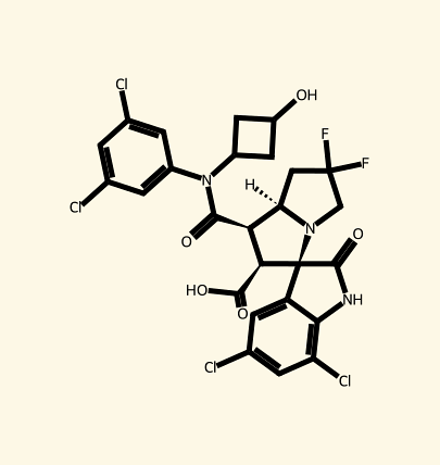 O=C(O)[C@H]1[C@@H](C(=O)N(c2cc(Cl)cc(Cl)c2)C2CC(O)C2)[C@H]2CC(F)(F)CN2[C@]12C(=O)Nc1c(Cl)cc(Cl)cc12